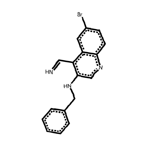 N=Cc1c(NCc2ccccc2)cnc2ccc(Br)cc12